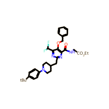 CCOC(=O)CNC(=O)c1nc(CC2CCN(c3ccc(C(C)(C)C)cc3)CC2)nc(C(F)F)c1OCc1ccccc1